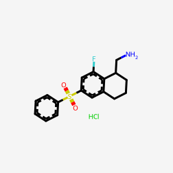 Cl.NCC1CCCc2cc(S(=O)(=O)c3ccccc3)cc(F)c21